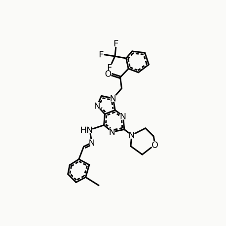 Cc1cccc(/C=N/Nc2nc(N3CCOCC3)nc3c2ncn3CC(=O)c2ccccc2C(F)(F)F)c1